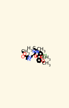 CCOC(=O)c1cnn(CC[C@H]2O[C@H](c3cccc(OC)c3OC)c3cc(Cl)ccc3-n3c2nc(C)c3C)c1